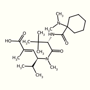 C/C(=C\[C@H](C(C)C)N(C)C(=O)[C@@H](NC(=O)C1(N(C)C)CCCCC1)C(C)(C)C)C(=O)O